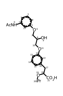 CC(=O)Nc1cccc(OCC(O)COc2cccc(CC(OC(C)C)C(=O)O)c2)c1